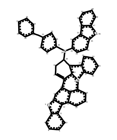 C1=c2c3cc4oc5ccccc5c4c4cccc(c34)n3c2c(c2ccccc23)C(N(c2ccc(-c3ccccc3)cc2)c2ccc3sc4ccccc4c3c2)C1